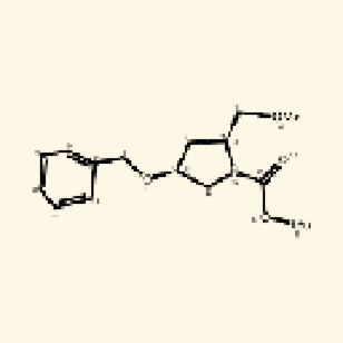 COC[C@@H]1C[C@H](OCc2ccccc2)CN1C(=O)OC(C)(C)C